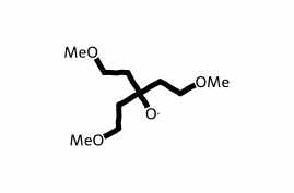 COCCC([O])(CCOC)CCOC